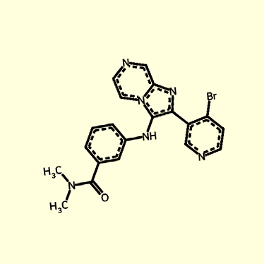 CN(C)C(=O)c1cccc(Nc2c(-c3cnccc3Br)nc3cnccn23)c1